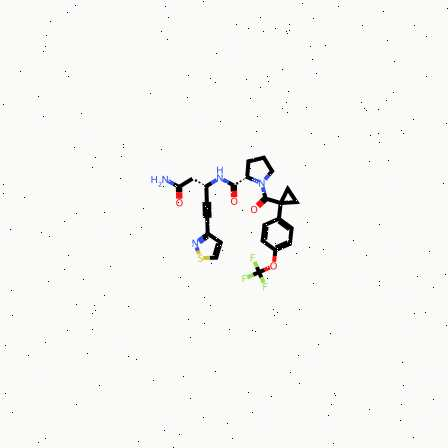 NC(=O)C[C@@H](C#Cc1ccsn1)NC(=O)[C@@H]1CCCN1C(=O)C1(c2ccc(OC(F)(F)F)cc2)CC1